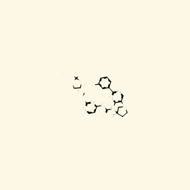 CC1(C)OC[C@@H](COc2nccc(NC(=O)N3c4nc(-c5cccc(C(F)(F)F)c5)ncc4N4CC[C@H]3C4)n2)O1